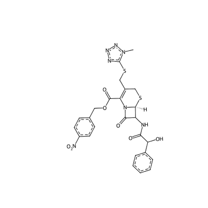 Cn1nnnc1SCC1=C(C(=O)OCc2ccc([N+](=O)[O-])cc2)N2C(=O)C(NC(=O)C(O)c3ccccc3)[C@@H]2SC1